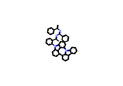 C=C(/N=C(\N=C(/C)c1ccccc1-n1c2cccc3c4cccc5c6ccccc6n(c6cccc1c6c32)c45)C1=CC=CCC1)c1ccccc1